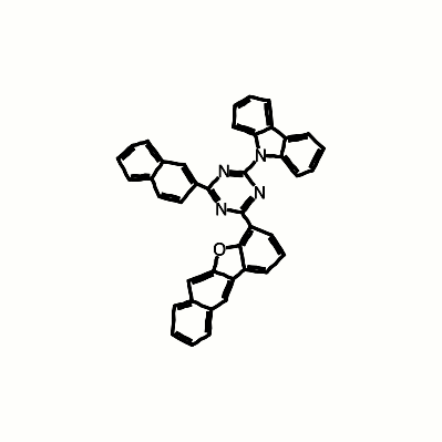 c1ccc2cc(-c3nc(-c4cccc5c4oc4cc6ccccc6cc45)nc(-n4c5ccccc5c5ccccc54)n3)ccc2c1